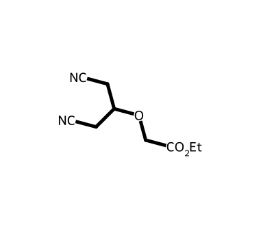 CCOC(=O)COC(CC#N)CC#N